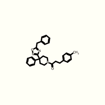 Cc1ccc(CCC(=O)N2CCC(c3ccccc3)(c3noc(Cc4ccccc4)n3)CC2)cc1